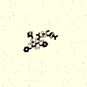 CCN(Cc1csc(C(C)C)n1)C(=O)N[C@H](C(=O)N[C@@H](Cc1ccccc1)C[C@H](O)[C@H](Cc1ccccc1)NC(=O)OCc1ccns1)C(C)C